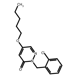 CCCCCOc1cnn(Cc2ccccc2Cl)c(=O)c1